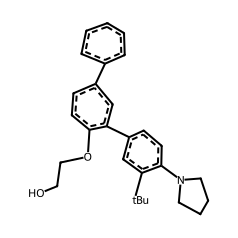 CC(C)(C)c1cc(-c2cc(-c3ccccc3)ccc2OCCO)ccc1N1CCCC1